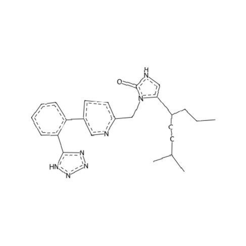 CCCC(CCC(C)C)c1c[nH]c(=O)n1Cc1ccc(-c2ccccc2-c2nnn[nH]2)cn1